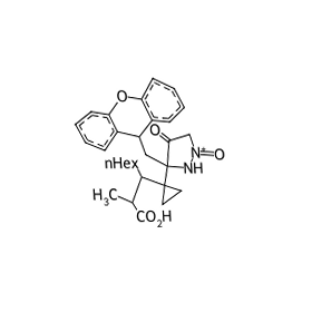 CCCCCCC(C(C)C(=O)O)C1(C2(CC3c4ccccc4Oc4ccccc43)N[N+](=O)CC2=O)CC1